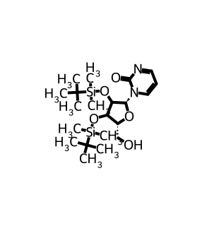 CC(C)(C)[Si](C)(C)OC1C(O[Si](C)(C)C(C)(C)C)[C@@H](CO)O[C@H]1n1cccnc1=O